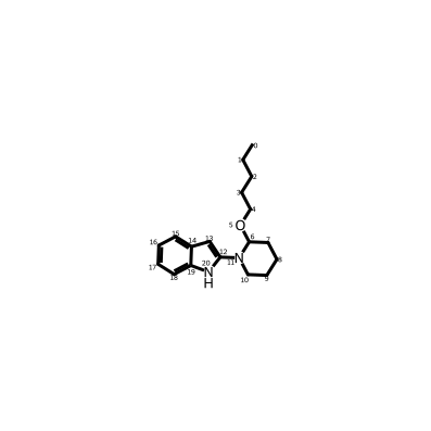 CCCCCOC1CCCCN1c1cc2ccccc2[nH]1